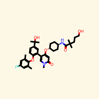 Cc1cc(F)cc(C)c1Oc1ccc(C(C)(C)O)cc1-c1cn(C)c(=O)cc1O[C@H]1CC[C@H](NC(=O)C(C)(C)CCCO)CC1